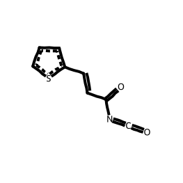 O=C=NC(=O)C=Cc1cccs1